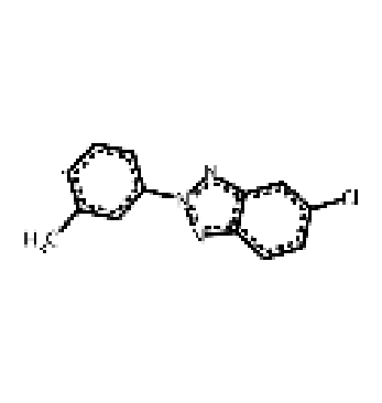 Cc1[c]ccc(-n2nc3ccc(Cl)cc3n2)c1